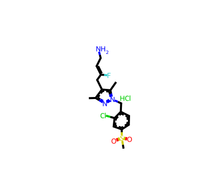 Cc1nn(Cc2ccc(S(C)(=O)=O)cc2Cl)c(C)c1C/C(F)=C/CN.Cl